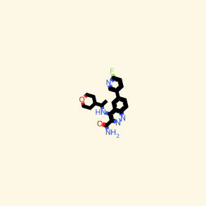 CC(Nc1c(C(N)=O)nnc2ccc(-c3ccc(F)nc3)cc12)C1CCOCC1